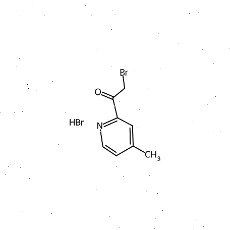 Br.Cc1ccnc(C(=O)CBr)c1